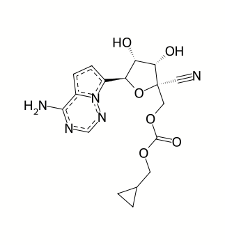 N#C[C@]1(COC(=O)OCC2CC2)O[C@@H](c2ccc3c(N)ncnn23)[C@H](O)[C@@H]1O